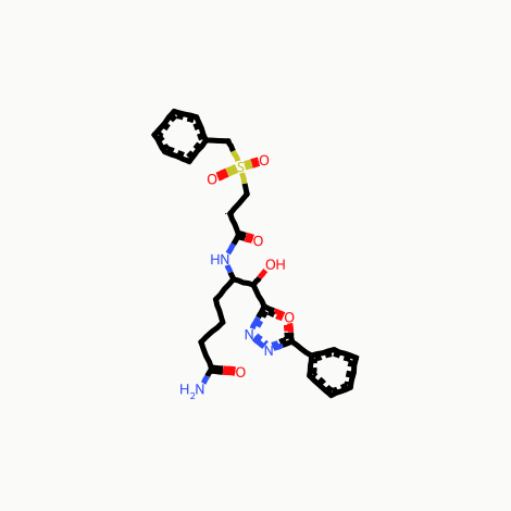 NC(=O)CCCC(NC(=O)[CH]CS(=O)(=O)Cc1ccccc1)C(O)c1nnc(-c2ccccc2)o1